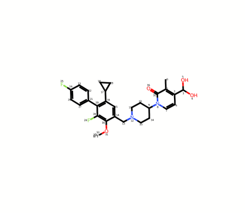 Cc1c(C(O)O)ccn(C2CCN(Cc3cc(C4CC4)c(-c4ccc(F)cc4)c(F)c3OC(C)C)CC2)c1=O